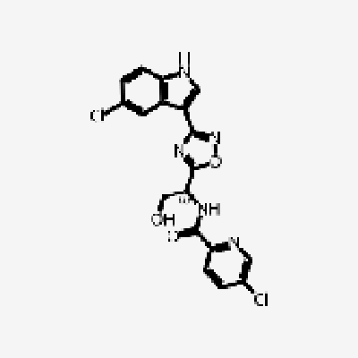 O=C(N[C@@H](CO)c1nc(-c2c[nH]c3ccc(Cl)cc23)no1)c1ccc(Cl)cn1